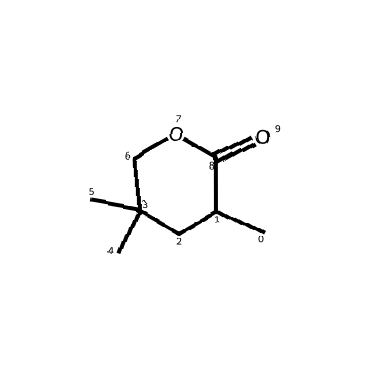 CC1CC(C)(C)COC1=O